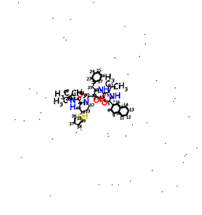 CC(C)[C@H](NC(=O)c1ccc2ccccc2c1)C(=O)NC(Cc1ccccc1)C(O)CN1CCC([SH]2C=CC=C2)C[C@H]1C(=O)NC(C)(C)C